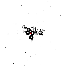 CNC[C@H](CC(C)C)NC(=O)N1CCC[C@@H]([C@](O)(CCCCOC)c2cc(F)ccc2Oc2ccc(F)cc2)C1